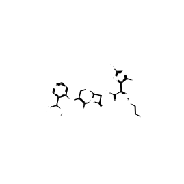 CCSC(N)c1cnccc1SC1=C(C(=O)O)N2C(=O)[C@@H](NC(=O)/C(=N\OCCF)c3nc(N)sc3Cl)[C@@H]2SC1